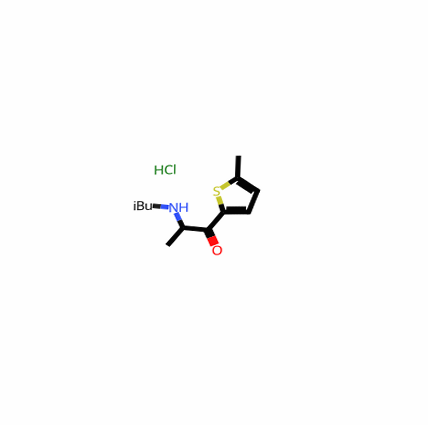 CCC(C)NC(C)C(=O)c1ccc(C)s1.Cl